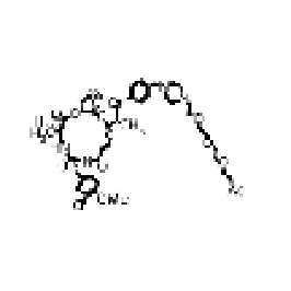 COc1ccc(C[C@H]2NC(=O)/C=C/C[C@@H]([C@H](C)[C@H]3O[C@@H]3c3ccc(CN4CCN(CCOCCOCCOCCC(C)=O)CC4)cc3)OC(=O)[C@H](CC(C)C)OC(=O)C(C)(C)CNC2=O)cc1Cl